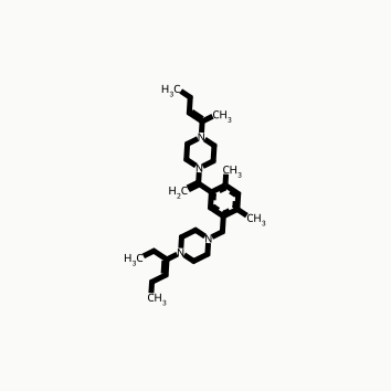 C=C(c1cc(CN2CCN(/C(=C/CC)CC)CC2)c(C)cc1C)N1CCN(/C(C)=C/CC)CC1